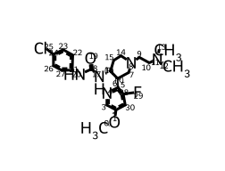 COc1cnc([C@@H]2CN(CCN(C)C)CC[C@H]2NC(=O)Nc2ccc(Cl)cc2)c(F)c1